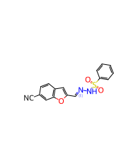 N#Cc1ccc2cc(/C=N/NS(=O)(=O)c3ccccc3)oc2c1